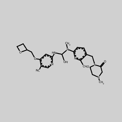 CN1CCN(Cc2ccc(N(C)C(O)Nc3cc(OCC4CCO4)c(C#N)cn3)nc2C=O)C(=O)C1